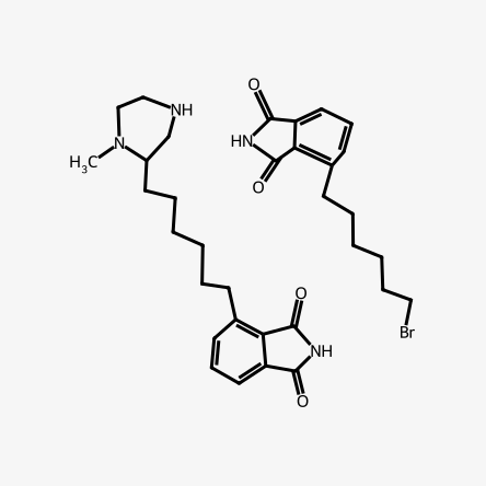 CN1CCNCC1CCCCCCc1cccc2c1C(=O)NC2=O.O=C1NC(=O)c2c(CCCCCCBr)cccc21